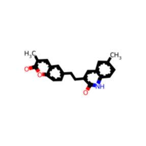 Cc1ccc2[nH]c(=O)c(CCc3ccc4oc(=O)c(C)cc4c3)cc2c1